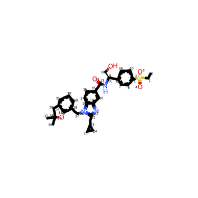 CCS(=O)(=O)c1ccc([C@H](CO)NC(=O)c2ccc3c(c2)nc(C2CC2)n3Cc2cccc3c2OC(C)(C)C3)cc1